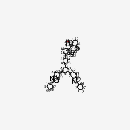 c1ccc(-c2nc3cc(-c4cc(-c5ccc(-c6ccc7c(c6)C6(c8ccccc8Oc8ccccc86)c6ccccc6-7)cc5)cc(-c5ccc6nc(-c7ccccc7)oc6c5)c4)ccc3o2)cc1